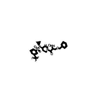 CNC(COCc1ccccc1)C(=O)N1CCC(N(C2CC2)S(=O)(=O)c2cccc(C(F)(F)F)c2)CC1